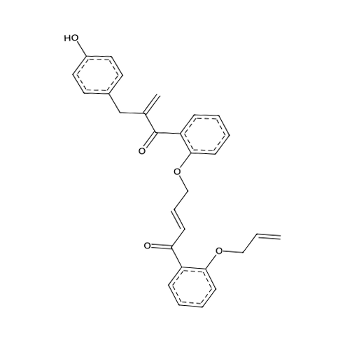 C=CCOc1ccccc1C(=O)C=CCOc1ccccc1C(=O)C(=C)Cc1ccc(O)cc1